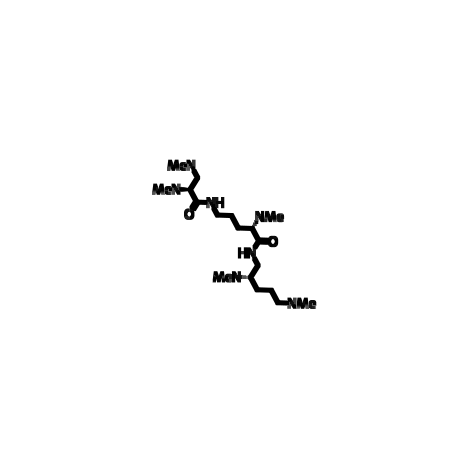 CNCCC[C@@H](CNC(=O)[C@H](CCCNC(=O)[C@H](CNC)NC)NC)NC